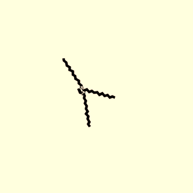 CCCCCCCCCCCCCN1C=CN(CCCCCCCCCCCCC)C1CCCCCCCCCCCC